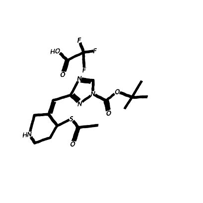 CC(=O)SC1CCNCC1=Cc1ncn(C(=O)OC(C)(C)C)n1.O=C(O)C(F)(F)F